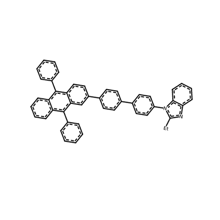 CCc1nc2ccccc2n1-c1ccc(-c2ccc(-c3ccc4c(-c5ccccc5)c5ccccc5c(-c5ccccc5)c4c3)cc2)cc1